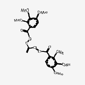 C=C(OOC(=O)c1ccc(OC)c(OC)c1OC)OOC(=O)c1ccc(OC)c(OC)c1OC